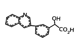 O=C(O)C(O)c1cccc(-c2cnc3ccccc3c2)c1